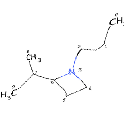 CCCN1CCC1C(C)C